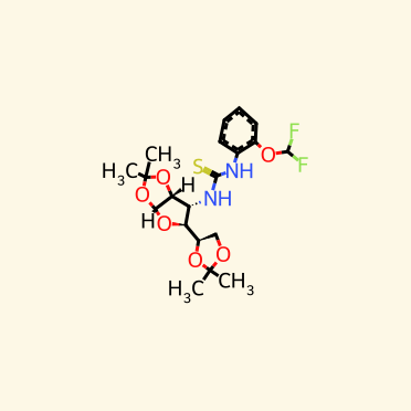 CC1(C)O[C@H]2O[C@H]([C@H]3COC(C)(C)O3)[C@@H](NC(=S)Nc3ccccc3OC(F)F)[C@H]2O1